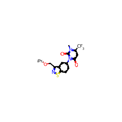 CC(C)OCc1nsc2ccc(-n3c(=O)cc(C(F)(F)F)n(C)c3=O)cc12